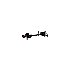 O=C(NC(c1cccc(OCCCCCCCCCNCC(O)c2ccc(O)c3[nH]c(=O)ccc23)c1)c1cccs1)OC1CN2CCC1CC2